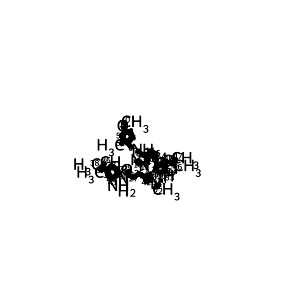 COc1ccc(CNc2ncnc3c2ccn3[C@@H]2C[C@H](CN(C)C3CC(CCC(=O)Nc4ccc(C(C)(C)C)cc4N)C3)[C@H]3OC(C)(C)O[C@H]32)c(C)c1